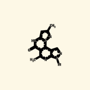 CCn1ncc2c1nc(C)c1c(=O)[nH]c3cc(C)nn3c12